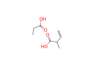 C=CC(C)C(=O)O.CCC(=O)O